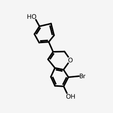 Oc1ccc(C2=Cc3ccc(O)c(Br)c3OC2)cc1